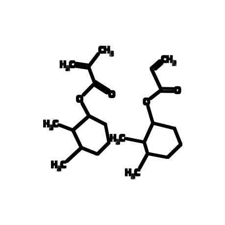 C=C(C)C(=O)OC1CCCC(C)C1C.C=CC(=O)OC1CCCC(C)C1C